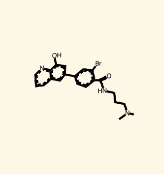 CN(C)CCCNC(=O)c1ccc(-c2cc(O)c3ncccc3c2)cc1Br